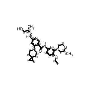 C[C@@H]1CN(c2nc(NC(=O)c3cnc(NS[C@H](C)CO)cc3N3CCC4(CC3)CC4)ccc2OCF)CCO1